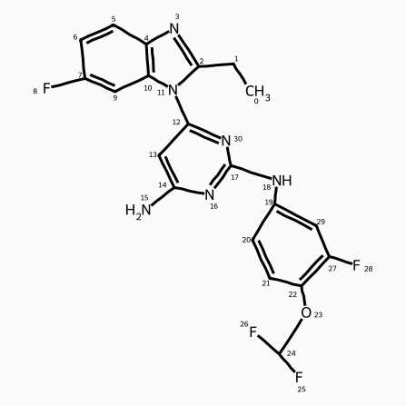 CCc1nc2ccc(F)cc2n1-c1cc(N)nc(Nc2ccc(OC(F)F)c(F)c2)n1